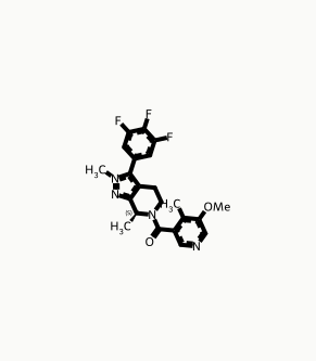 COc1cncc(C(=O)N2CCc3c(nn(C)c3-c3cc(F)c(F)c(F)c3)[C@@H]2C)c1C